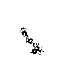 CNC(=O)c1cc(=O)n(CCN2CCC(NCc3cc4c(cn3)OCCO4)CC2)c2cc(C)ccc12